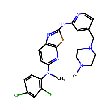 CN1CCN(Cc2ccnc(Nc3nc4ccc(N(C)c5ccc(Cl)cc5F)nc4s3)c2)CC1